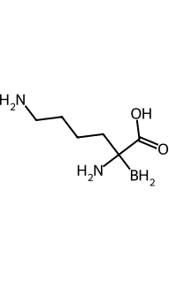 BC(N)(CCCCN)C(=O)O